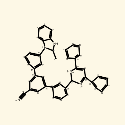 CC1Nc2ccccc2N1c1cccc(-c2cc(C#N)cc(-c3cccc(C4N=C(c5ccccc5)C=C(c5ccccc5)N4)c3)c2)c1